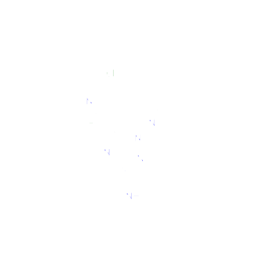 CC1COCCN1c1cc(-c2cc(Cl)cnc2F)c2ccnc(/C(N)=C/C=N)c2n1